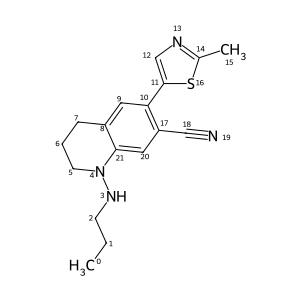 CCCNN1CCCc2cc(-c3cnc(C)s3)c(C#N)cc21